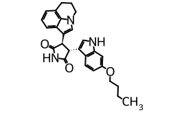 CCCCOc1ccc2c([C@@H]3C(=O)NC(=O)[C@H]3c3cn4c5c(cccc35)CCC4)c[nH]c2c1